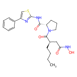 CCCC[C@H](CC(=O)NO)C(=O)N1CCC[C@H]1C(=O)Nc1nc(-c2ccccc2)cs1